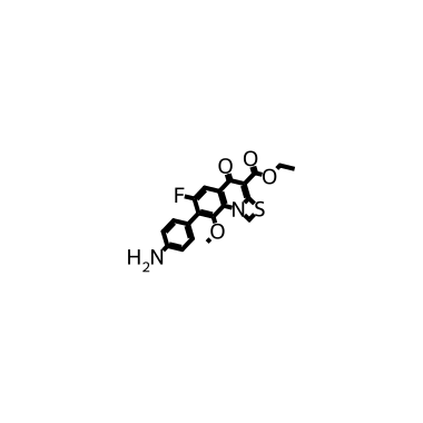 CCOC(=O)c1c2n(c3c(OC)c(-c4ccc(N)cc4)c(F)cc3c1=O)CS2